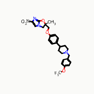 C[C@@]1(COc2ccc(C3CCN(Cc4ccc(OC(F)(F)F)cc4)CC3)cc2)Cn2cc([N+](=O)[O-])nc2O1